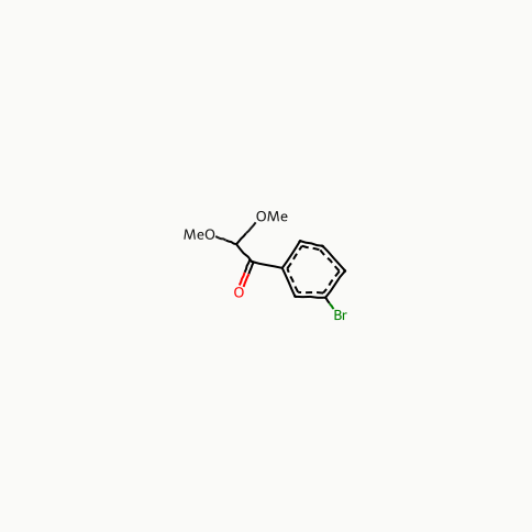 COC(OC)C(=O)c1cccc(Br)c1